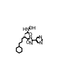 O=C(C[C@@H](CCCC1CCCCC1)c1nc(-c2cncnc2)no1)NO